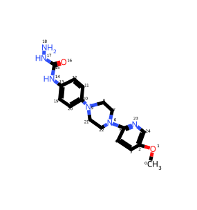 COc1ccc(N2CCN(c3ccc(NC(=O)NN)cc3)CC2)nc1